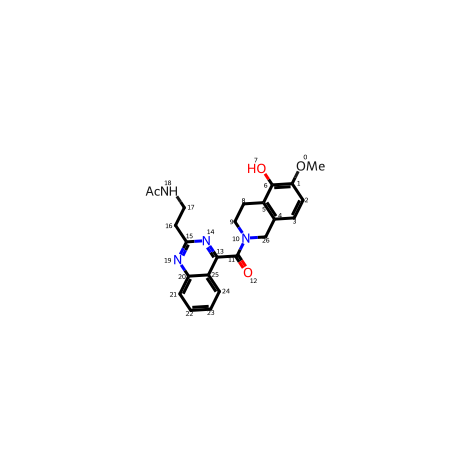 COc1ccc2c(c1O)CCN(C(=O)c1nc(CCNC(C)=O)nc3ccccc13)C2